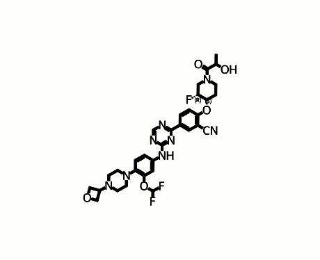 CC(O)C(=O)N1CC[C@H](Oc2ccc(-c3ncnc(Nc4ccc(N5CCN(C6COC6)CC5)c(OC(F)F)c4)n3)cc2C#N)[C@H](F)C1